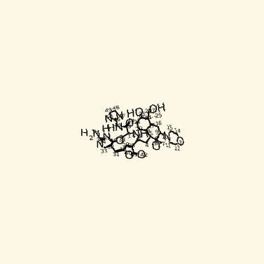 CC(NC(CC1C2(CO2)C(N2CCOCC2)CC2[C@]1(C)CC[C@@H](O)[C@@]2(C)CO)C1=C/C(=C\c2cnc(N)[nH]c2=O)OC1=O)C(=O)NC1=NCC=N1